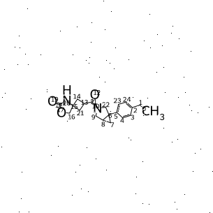 CCc1ccc(C23CC2CN(C(=O)C2CC4(COC(=O)N4)C2)C3)cc1